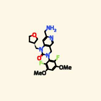 COc1cc(OC)c(F)c(N2Cc3cnc(CN)cc3N(C[C@@H]3CCOC3)C2=O)c1F